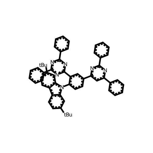 CC(C)(C)c1ccc2c3ccc(C(C)(C)C)cc3n(-c3ccc(-c4cc(-c5ccccc5)nc(-c5ccccc5)n4)cc3-c3nc(-c4ccccc4)nc(-c4ccccc4)n3)c2c1